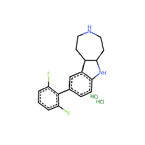 Cl.Cl.Fc1cccc(F)c1-c1ccc2c(c1)C1CCNCCC1N2